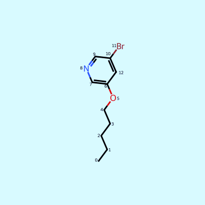 CCCCCOc1cncc(Br)c1